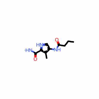 CCCC(=O)Nc1c[nH]c(C([NH])=O)c1C